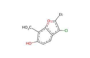 CCc1oc2c(C(=O)O)c(O)ccc2c1Cl